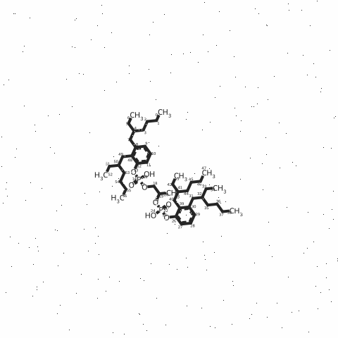 CCCCC(CC)Cc1cccc(OP(=O)(O)OCC(C)OP(=O)(O)Oc2cccc(CC(CC)CCCC)c2CC(CC)CCCC)c1CC(CC)CCCC